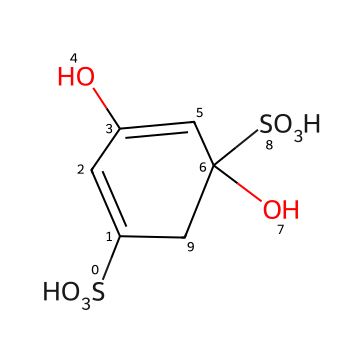 O=S(=O)(O)C1=CC(O)=CC(O)(S(=O)(=O)O)C1